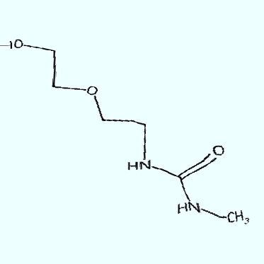 CNC(=O)NCCOCCO